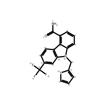 NC(=O)c1cccc2c1c1[c]cc(C(F)(F)F)cc1n2Cc1cccs1